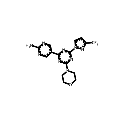 Nc1ncc(-c2nc(N3CCOCC3)nc(-n3ccc(C(F)(F)F)n3)n2)cn1